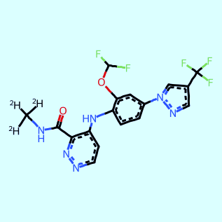 [2H]C([2H])([2H])NC(=O)c1nnccc1Nc1ccc(-n2cc(C(F)(F)F)cn2)cc1OC(F)F